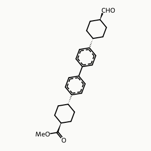 COC(=O)[C@H]1CC[C@H](c2ccc(-c3ccc([C@H]4CC[C@H](C=O)CC4)cc3)cc2)CC1